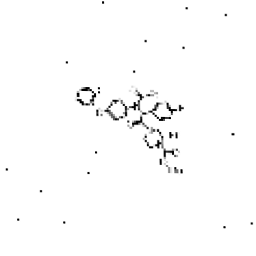 CCC(=O)N(c1ccc(Oc2ccccc2)cc1)[C@@H](C(=O)N1CCN(C(=O)OC(C)(C)C)[C@@H](CC)C1)c1ccc(F)cc1